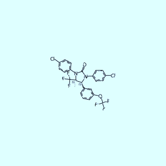 C[C@@]1(C(F)(F)F)[C@H](c2cccc(OC(F)(F)F)c2)N(c2ccc(Cl)cc2)C(=O)N1c1ccc(Cl)cc1